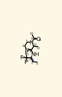 C/C=C(\NC1=NCCN(C(C)=O)C1C)C(F)(F)F